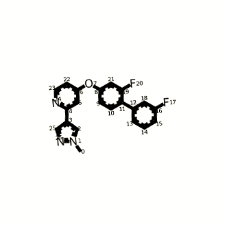 Cn1cc(-c2cc(Oc3ccc(-c4cccc(F)c4)c(F)c3)ccn2)cn1